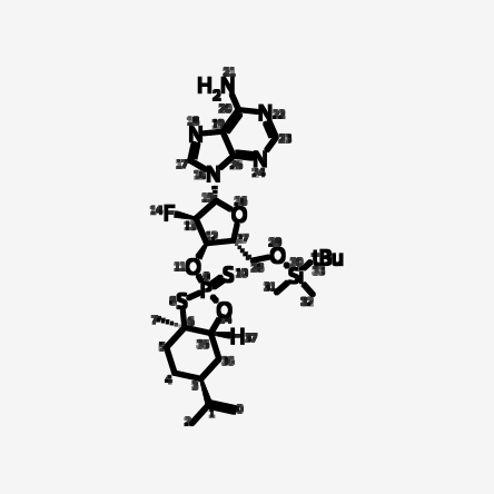 C=C(C)[C@H]1CC[C@@]2(C)SP(=S)(O[C@H]3[C@@H](F)[C@H](n4cnc5c(N)ncnc54)O[C@@H]3CO[Si](C)(C)C(C)(C)C)O[C@@H]2C1